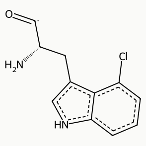 N[C@H]([C]=O)Cc1c[nH]c2cccc(Cl)c12